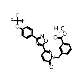 COC(=O)c1cccc(Cn2nc(-c3nc(-c4ccc(OC(F)(F)F)cc4)no3)ccc2=O)c1